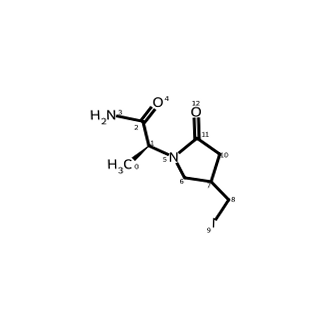 C[C@@H](C(N)=O)N1CC(CI)CC1=O